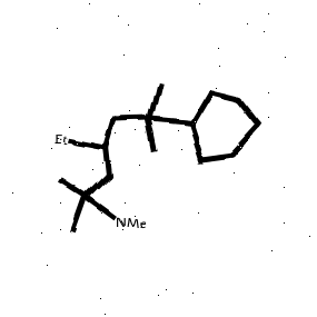 CCC(CC(C)(C)NC)CC(C)(C)C1CCCCC1